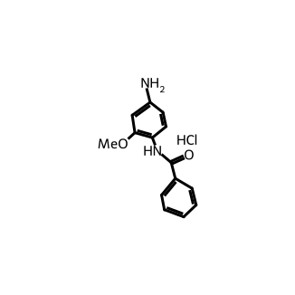 COc1cc(N)ccc1NC(=O)c1ccccc1.Cl